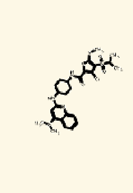 CSc1sc(C(=O)NC2CCC(Nc3cc(N(C)C)c4ccccc4n3)CC2)c(Cl)c1S(=O)(=O)C(C)C